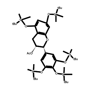 CC(=O)O[C@@H]1Cc2c(cc(O[Si](C)(C)C(C)(C)C)cc2O[Si](C)(C)C(C)(C)C)O[C@@H]1c1cc(O[Si](C)(C)C(C)(C)C)c(O[Si](C)(C)C(C)(C)C)c(O[Si](C)(C)C(C)(C)C)c1